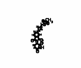 CS(=O)(=O)OCC1CN(c2ccc3c(c2)C(=O)N(C2CCC(=O)NC2=O)C3=O)C1